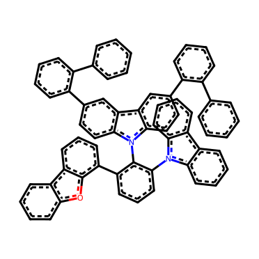 c1ccc(-c2ccccc2-c2ccc3c(c2)c2cc(-c4ccccc4-c4ccccc4)ccc2n3-c2c(-c3cccc4c3oc3ccccc34)cccc2-n2c3ccccc3c3ccccc32)cc1